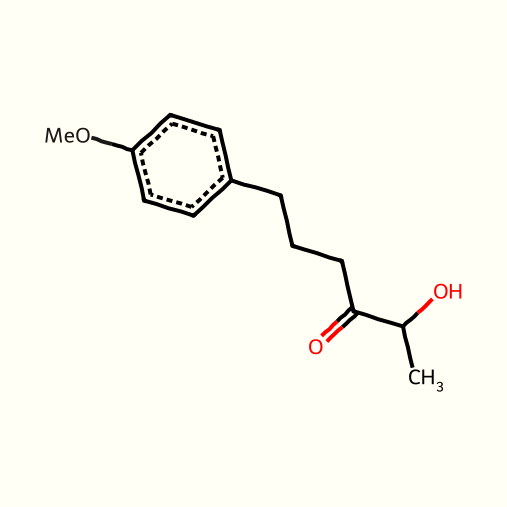 COc1ccc(CCCC(=O)C(C)O)cc1